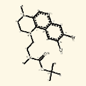 CN(CCN1CCN(C)c2cnc3cc(Br)c(Cl)cc3c21)C(=O)OC(C)(C)C